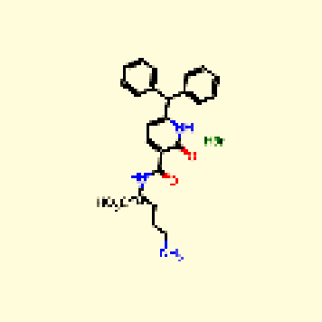 Br.NCCC[C@H](NC(=O)c1ccc(C(c2ccccc2)c2ccccc2)[nH]c1=O)C(=O)O